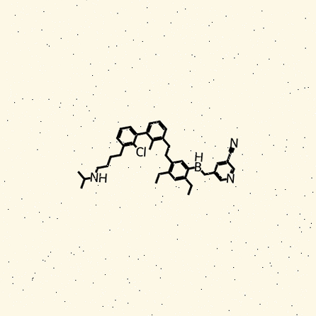 CCc1cc(CC)c(CCc2cccc(-c3cccc(CCCCNC(C)C)c3Cl)c2C)cc1BCc1cncc(C#N)c1